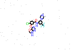 C[C@@H]1CN(c2cc(NC(=O)c3ccc(Cl)c(Oc4ncnc5c4OCCN5)c3)cc(C(F)(F)F)c2)CCN1C